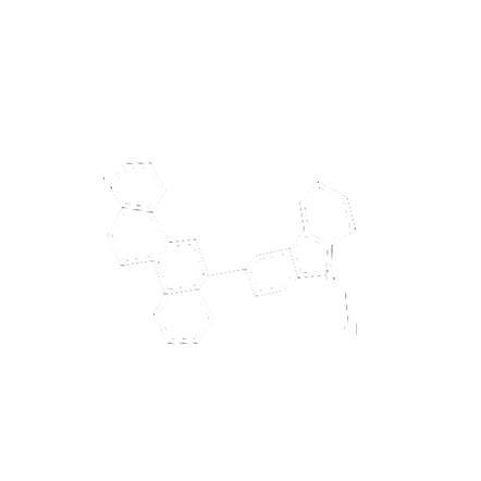 CCn1c2ccccc2c2cc(-c3cc4c5cccnc5ccc4c4ccccc34)ccc21